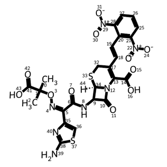 CC(C)(O/N=C(\C(=O)NC1C(=O)N2C(C(=O)O)=C(/C=C/c3c([N+](=O)[O-])cccc3[N+](=O)[O-])CS[C@H]12)c1csc(N)n1)C(=O)O